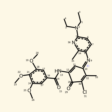 CCN(CC)c1ccc(/N=C2\C=C(NC(=O)c3cc(OC)c(OC)c(OC)c3)C(=O)C(Cl)=C2C)c(C)n1